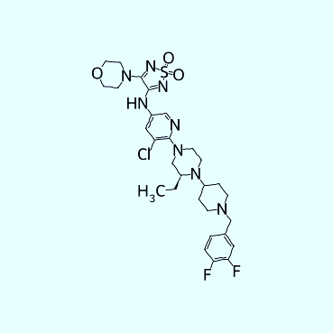 CC[C@H]1CN(c2ncc(NC3=NS(=O)(=O)N=C3N3CCOCC3)cc2Cl)CCN1C1CCN(Cc2ccc(F)c(F)c2)CC1